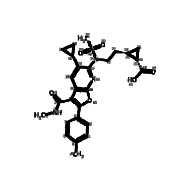 CNC(=O)c1c(-c2ccc(C)cc2)oc2nc(N(CC[C@H]3C[C@@H]3C(=O)O)S(C)(=O)=O)c(C3CC3)cc12